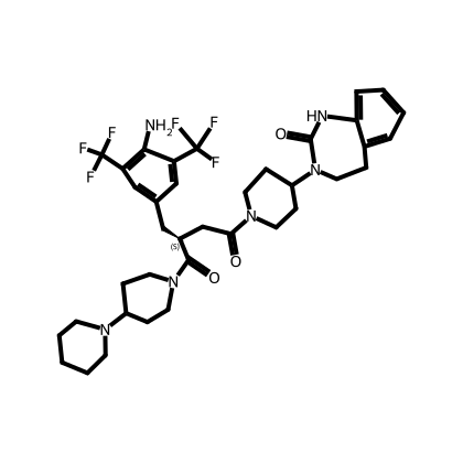 Nc1c(C(F)(F)F)cc(C[C@@H](CC(=O)N2CCC(N3CCc4ccccc4NC3=O)CC2)C(=O)N2CCC(N3CCCCC3)CC2)cc1C(F)(F)F